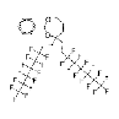 FC(F)(F)C(F)(F)C(F)(F)C(F)(F)C(F)(F)C(F)(F)CCC1(CCC(F)(F)C(F)(F)C(F)(F)C(F)(F)C(F)(F)C(F)(F)F)CCCOC(c2ccccc2)O1